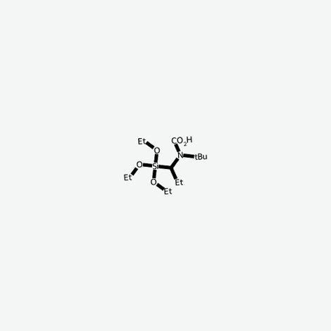 CCO[Si](OCC)(OCC)C(CC)N(C(=O)O)C(C)(C)C